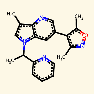 Cc1noc(C)c1-c1cnc2c(C)cn(C(C)c3ccccn3)c2c1